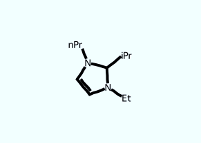 CCCN1C=CN(CC)C1C(C)C